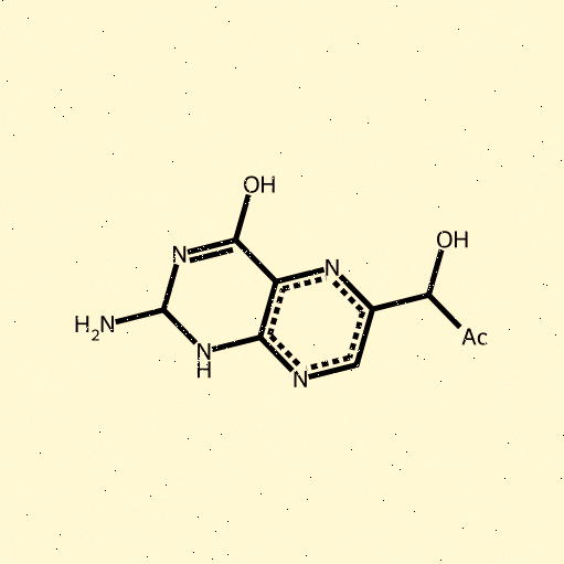 CC(=O)C(O)c1cnc2c(n1)C(O)=NC(N)N2